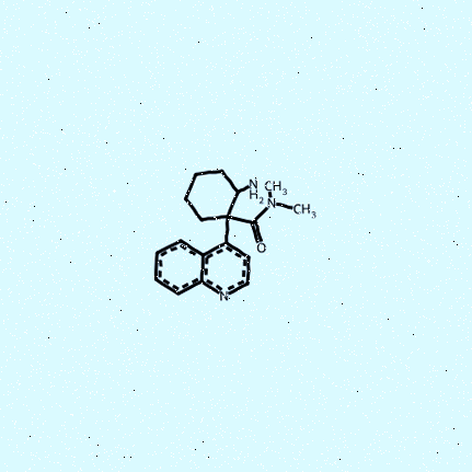 CN(C)C(=O)C1(c2ccnc3ccccc23)CCCCC1N